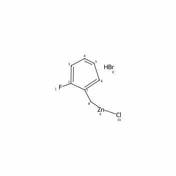 Br.Fc1ccccc1[CH2][Zn][Cl]